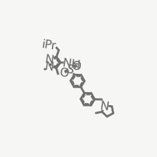 Cc1c(NS(=O)(=O)c2ccc(-c3cccc(CN4CCCC4C)c3)cc2)c(CC(C)C)nn1C